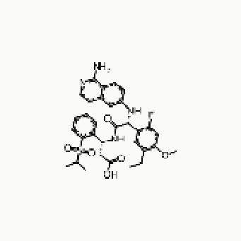 CCc1cc([C@@H](Nc2ccc3c(N)nccc3c2)C(=O)N[C@H](CC(=O)O)c2ccccc2S(=O)(=O)C(C)C)c(F)cc1OC